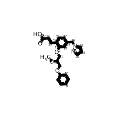 COC(COc1ccccc1)COc1cc(Cn2cccn2)ccc1/C=C/C(=O)O